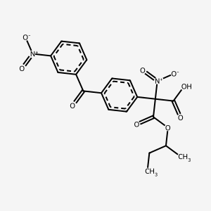 CCC(C)OC(=O)C(C(=O)O)(c1ccc(C(=O)c2cccc([N+](=O)[O-])c2)cc1)[N+](=O)[O-]